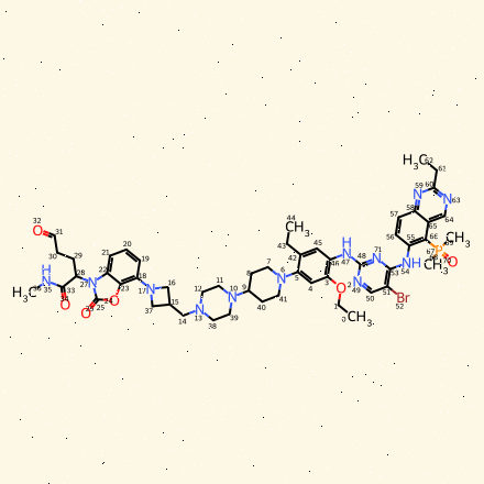 CCOc1cc(N2CCC(N3CCN(CC4CN(c5cccc6c5oc(=O)n6C(CCC=O)C(=O)NC)C4)CC3)CC2)c(CC)cc1Nc1ncc(Br)c(Nc2ccc3nc(CC)ncc3c2P(C)(C)=O)n1